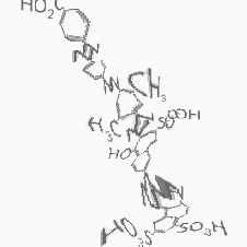 Cc1cc(N=Nc2c(SOOO)cc3cc(-n4nc5ccc6c(S(=O)(=O)O)cc(S(=O)(=O)O)cc6c5n4)ccc3c2O)c(C)cc1N=Nc1ccc(N=Nc2ccc(C(=O)O)cc2)cc1